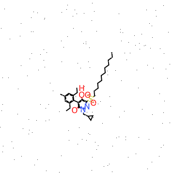 CCCCCCCCCCCCS(=O)(=O)c1nn(CC2CC2)c(=O)c(-c2c(CC)cc(C)cc2CC)c1O